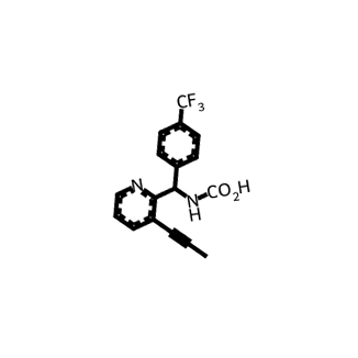 CC#Cc1cccnc1C(NC(=O)O)c1ccc(C(F)(F)F)cc1